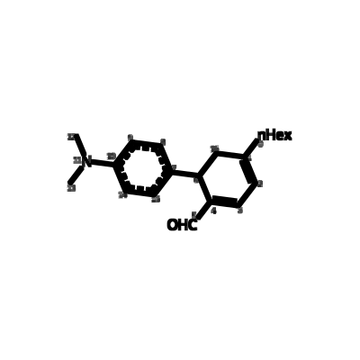 CCCCCCC1=CC=C(C=O)C(c2ccc(N(C)C)cc2)C1